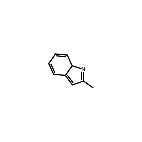 CC1=NC2C=CC=CC2=C1